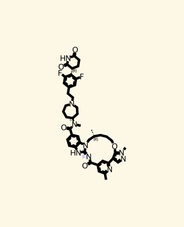 Cc1cc2cc(n1)-c1cnn(C)c1OCCC[C@@H](C)CN1/C(=N/C2=O)Nc2ccc(C(=O)N(C)[C@H]3CCCN(CCc4cc(F)c([C@H]5CCC(=O)NC5=O)c(F)c4)CC3)cc21